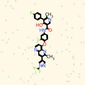 Cc1nc2c(Oc3ccc(NC(=O)c4cnc(C)c(-c5ccc(F)cc5)c4O)cc3F)ccnc2cc1-c1cnn(C(F)F)c1